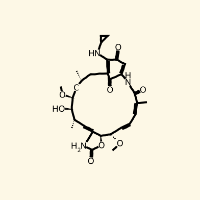 CO[C@H]1/C=C/C=C(/C)C(=O)NC2=CC(=O)C(NC3CC3)=C(C[C@@H](C)C[C@H](OC)[C@H](O)[C@@H](C)/C=C(\C)[C@@H]1OC(N)=O)C2=O